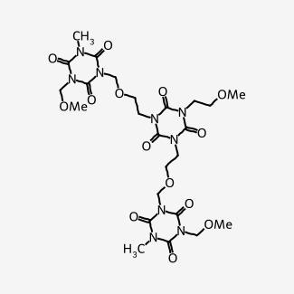 COCCn1c(=O)n(CCOCn2c(=O)n(C)c(=O)n(COC)c2=O)c(=O)n(CCOCn2c(=O)n(C)c(=O)n(COC)c2=O)c1=O